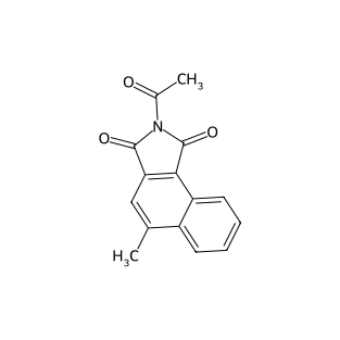 CC(=O)N1C(=O)c2cc(C)c3ccccc3c2C1=O